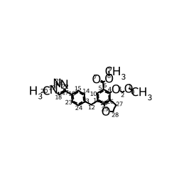 COCOc1c(C(=O)OC)cc(Cc2ccc(-c3cn(C)nn3)cc2)c2c1CCO2